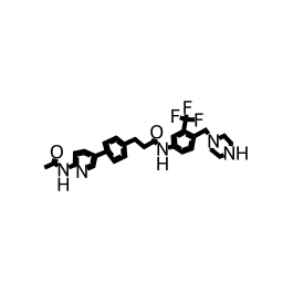 CC(=O)Nc1ccc(-c2ccc(CCC(=O)Nc3ccc(CN4CCNCC4)c(C(F)(F)F)c3)cc2)cn1